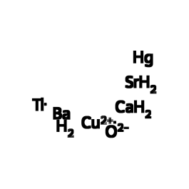 [BaH2].[CaH2].[Cu+2].[Hg].[O-2].[SrH2].[Tl]